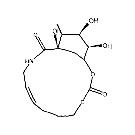 CC1[C@@H](O)[C@@H](O)C2C[C@]1(O)C(=O)NC/C=C\CCCCC(=O)O2